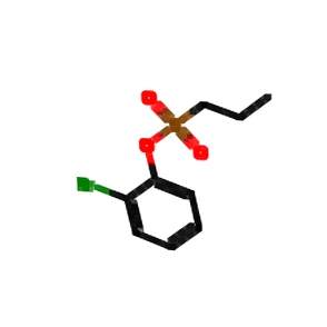 CCCS(=O)(=O)Oc1ccccc1Br